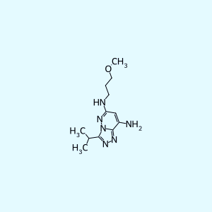 COCCCNc1cc(N)c2nnc(C(C)C)n2n1